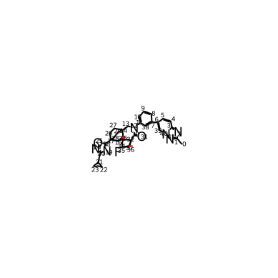 Cc1nc2ccc(-c3cccc(N(CC45CCC(c6nc(C7CC7)no6)(CC4)CC5)C(=O)C45CC(F)(C4)C5)c3)cn2n1